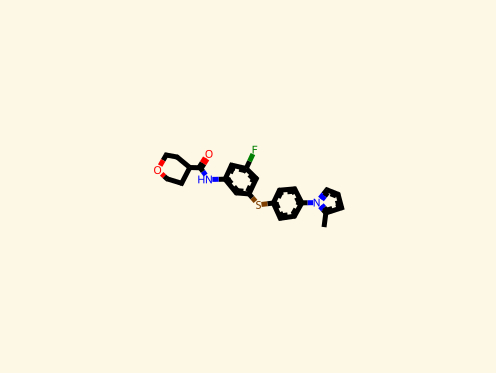 Cc1cccn1-c1ccc(Sc2cc(F)cc(NC(=O)C3CCOCC3)c2)cc1